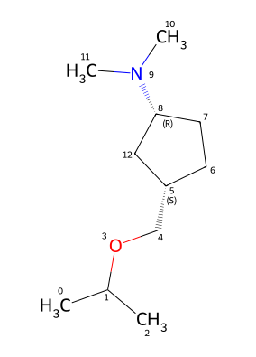 CC(C)OC[C@H]1CC[C@@H](N(C)C)C1